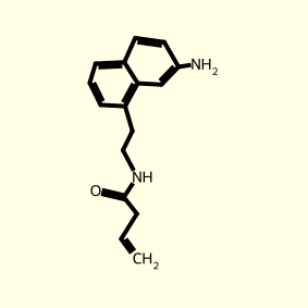 C=CCC(=O)NCCc1cccc2ccc(N)cc12